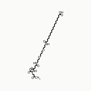 CC(=O)CC[C@H](NC(=O)CCC(=O)NCCCOCCCCOCCCNC(=O)CCCCCCCCCCCCCCCCCCC(=O)O)C(=O)O